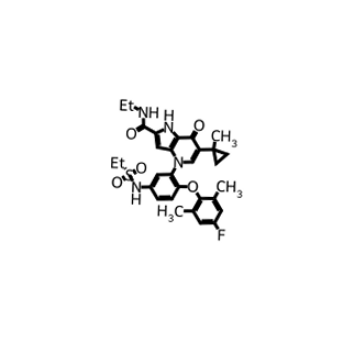 CCNC(=O)c1cc2c([nH]1)c(=O)c(C1(C)CC1)cn2-c1cc(NS(=O)(=O)CC)ccc1Oc1c(C)cc(F)cc1C